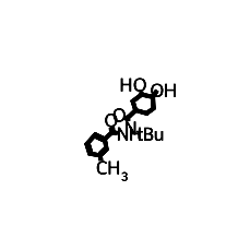 Cc1cccc(C(=O)NN(C(=O)C2CCC(O)C(O)C2)C(C)(C)C)c1